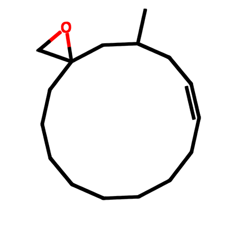 CC1CC=CCCCCCCCCC2(CO2)C1